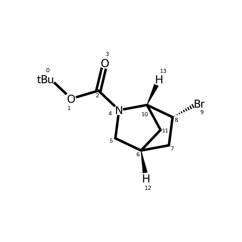 CC(C)(C)OC(=O)N1C[C@H]2C[C@@H](Br)[C@@H]1C2